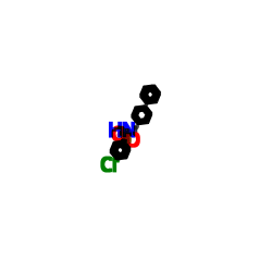 O=S(=O)(NC[C@H]1CC[C@@H](c2ccccc2)CC1)c1ccc(Cl)cc1